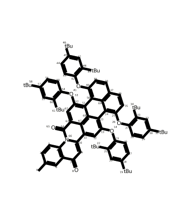 Cc1ccc2c(c1)c(=O)cc1c3cc(Oc4ccc(C(C)(C)C)cc4C(C)(C)C)c4c5c(Oc6ccc(C(C)(C)C)cc6C(C)(C)C)ccc6ccc(Oc7ccc(C(C)(C)C)cc7C(C)(C)C)c(c7c(Oc8ccc(C(C)(C)C)cc8C(C)(C)C)cc(c(=O)n21)c3c74)c65